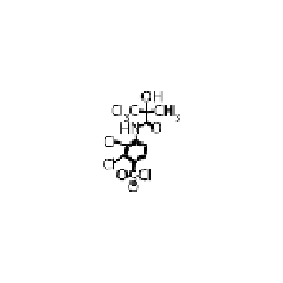 CC(O)(C(=O)Nc1ccc(S(=O)(=O)Cl)c(Cl)c1Cl)C(Cl)(Cl)Cl